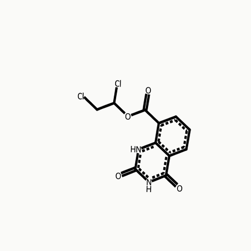 O=C(OC(Cl)CCl)c1cccc2c(=O)[nH]c(=O)[nH]c12